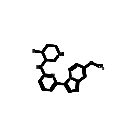 FC1CCNCC1Nc1cccc(-c2cnc3cc(OC(F)(F)F)ccn23)n1